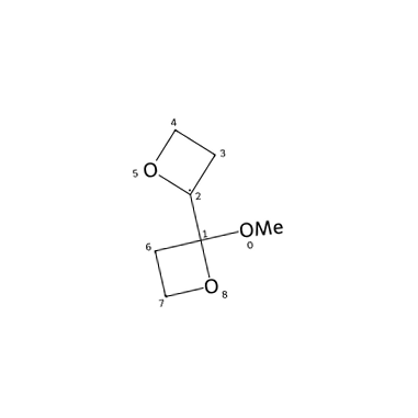 COC1([C]2CCO2)CCO1